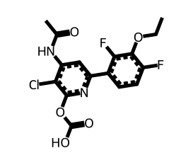 CCOc1c(F)ccc(-c2cc(NC(C)=O)c(Cl)c(OC(=O)O)n2)c1F